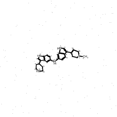 CN1CCC(c2c[nH]c3cc(Nc4ccc5[nH]cc(C6CCNCC6)c5c4)ccc23)CC1